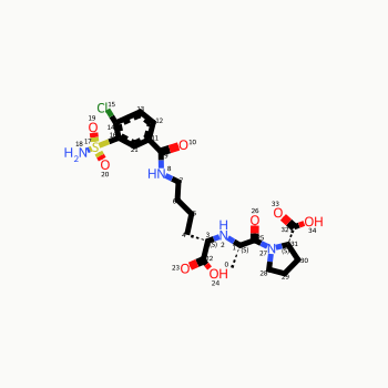 C[C@H](N[C@@H](CCCCNC(=O)c1ccc(Cl)c(S(N)(=O)=O)c1)C(=O)O)C(=O)N1CCC[C@H]1C(=O)O